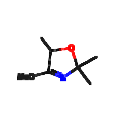 COC1=NC(C)(C)OC1C